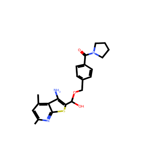 Cc1cc(C)c2c(N)c(C(O)OCc3ccc(C(=O)N4CCCC4)cc3)sc2n1